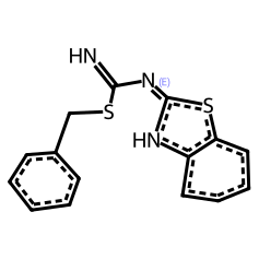 N=C(/N=c1\[nH]c2ccccc2s1)SCc1ccccc1